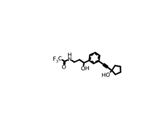 O=C(NCCC(O)c1cccc(C#CC2(O)CCCC2)c1)C(F)(F)F